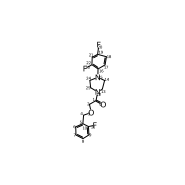 O=C(COCc1ccccc1F)N1CCN(c2ccc(F)cc2F)CC1